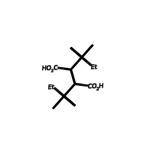 CCC(C)(C)C(C(=O)O)C(C(=O)O)C(C)(C)CC